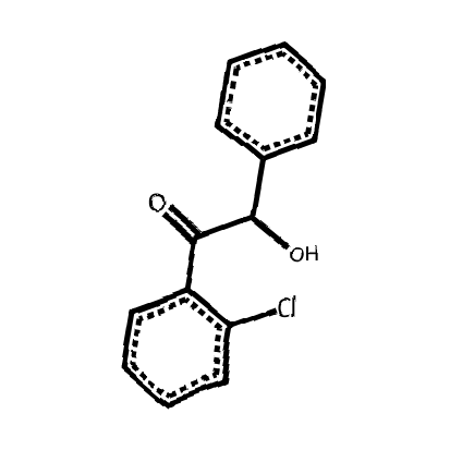 O=C(c1ccccc1Cl)C(O)c1ccccc1